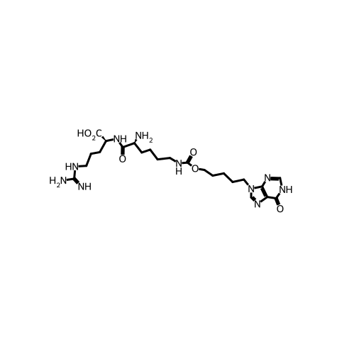 N=C(N)NCCC[C@H](NC(=O)[C@@H](N)CCCCNC(=O)OCCCCCn1cnc2c(=O)[nH]cnc21)C(=O)O